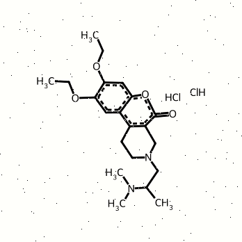 CCOc1cc2oc(=O)c3c(c2cc1OCC)CCN(CC(C)N(C)C)C3.Cl.Cl